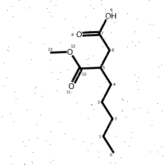 CCCCCC(CC(=O)O)C(=O)OC